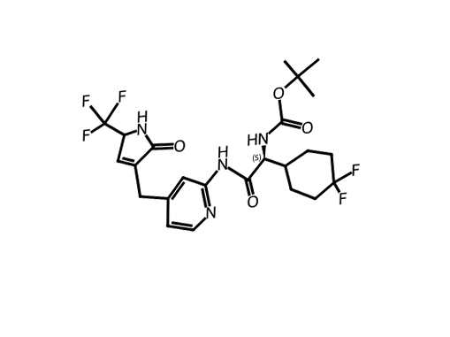 CC(C)(C)OC(=O)N[C@H](C(=O)Nc1cc(CC2=CC(C(F)(F)F)NC2=O)ccn1)C1CCC(F)(F)CC1